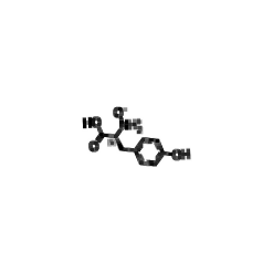 O=C(O)[C@H](Cc1ccc(O)cc1)[NH2+][O-]